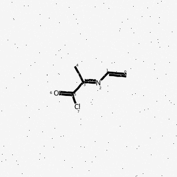 C=C/N=C(\C)C(=O)Cl